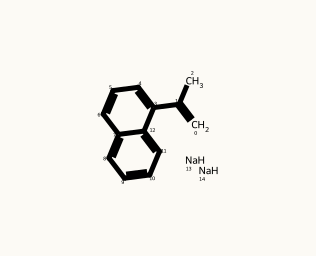 C=C(C)c1cccc2ccccc12.[NaH].[NaH]